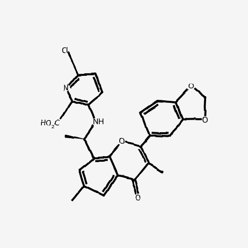 Cc1cc([C@@H](C)Nc2ccc(Cl)nc2C(=O)O)c2oc(-c3ccc4c(c3)OCO4)c(C)c(=O)c2c1